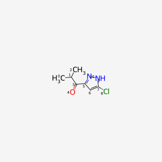 CC(C)C(=O)c1cc(Cl)[nH]n1